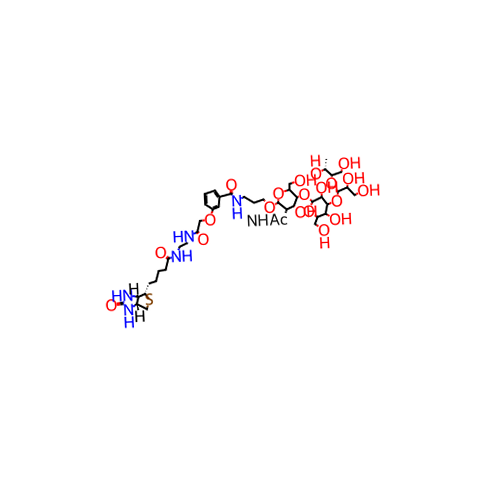 CC(=O)NC1C(OCCCNC(=O)c2cccc(OCC(=O)NCCNC(=O)CCCC[C@@H]3SC[C@@H]4NC(=O)N[C@@H]43)c2)OC(CO)C(OC2OC(CO)C(O)C(OC(OC(CO)[C@@H](C)O)[C@@H](O)CO)C2O)C1O